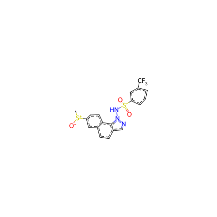 C[S+]([O-])c1ccc2c(ccc3cnn(NS(=O)(=O)c4cccc(C(F)(F)F)c4)c32)c1